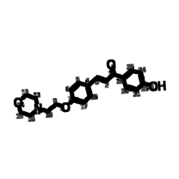 O=C(/C=C/c1ccc(OCCN2CCOCC2)cc1)c1ccc(O)cc1